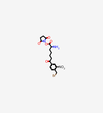 NC(CCCCC(=O)c1ccc(CBr)c([N+](=O)[O-])c1)C(=O)ON1C(=O)CCC1=O